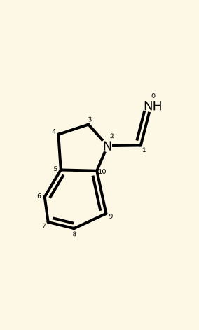 N=CN1CCc2ccccc21